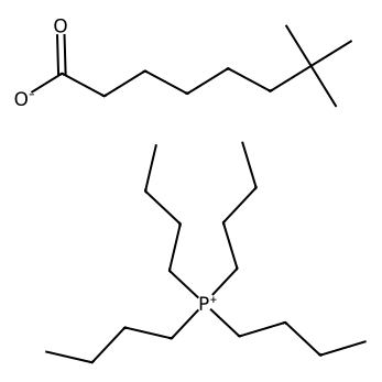 CC(C)(C)CCCCCC(=O)[O-].CCCC[P+](CCCC)(CCCC)CCCC